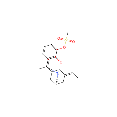 C/C=C1\CC2CC(/C(C)=C\C(=O)COS(C)(=O)=O)C1N(Cc1ccccc1)C2